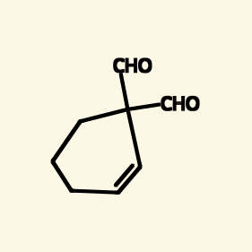 O=CC1(C=O)C=CCCC1